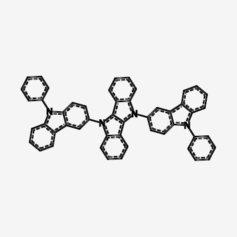 c1ccc(-n2c3ccccc3c3cc(-n4c5ccccc5c5c4c4ccccc4n5-c4ccc5c(c4)c4ccccc4n5-c4ccccc4)ccc32)cc1